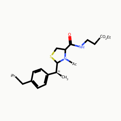 CCOC(=O)CCNC(=O)C1CSC([C@@H](C)c2ccc(CC(C)C)cc2)N1C(C)=O